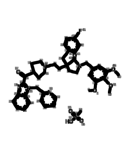 COc1cc(CN2CCC(CCN3CCC(C(=O)c4nc5ccccc5n4Cc4ccccn4)CC3)(Cc3ccc(F)cc3)C2=O)cc(OC)c1OC.CS(=O)(=O)O